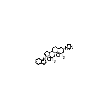 C[C@]12CC[C@@H](n3ccnc3)C=C1CCC1C2CC[C@]2(C)C(n3ccc4ccccc43)=CCC12